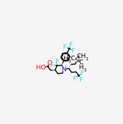 C[Si](C)(C)CC[C@H](CCC(F)(F)F)N1CC[C@@H](CC(=O)O)C(F)(F)[C@H]1c1ccc(C(F)(F)F)cc1